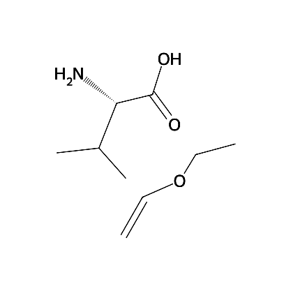 C=COCC.CC(C)[C@H](N)C(=O)O